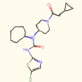 O=C(CC1CC1)N1CCC(N(C(=O)Nc2ncc(Cl)s2)C2CCCCC2)CC1